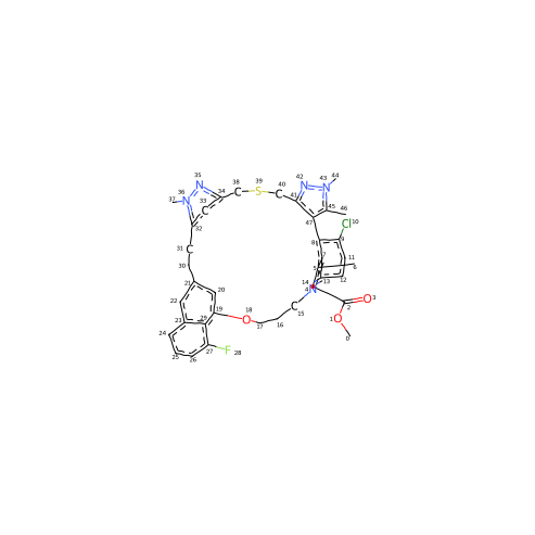 COC(=O)c1c(C)c2c3c(Cl)ccc2n1CCCOc1cc(cc2cccc(F)c12)CCc1cc(nn1C)CSCc1nn(C)c(C)c1-3